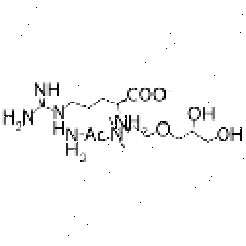 CC(N)=O.C[N+](C)(C)CCOCC(O)CO.N=C(N)NCCC[C@H](N)C(=O)[O-]